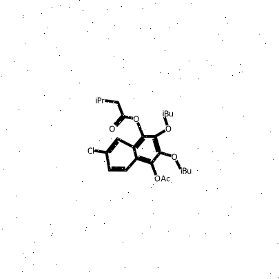 CCC(C)Oc1c(OC(C)CC)c(OC(=O)CC(C)C)c2cc(Cl)ccc2c1OC(C)=O